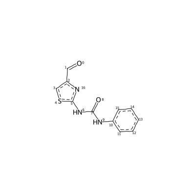 O=Cc1csc(NC(=O)Nc2ccccc2)n1